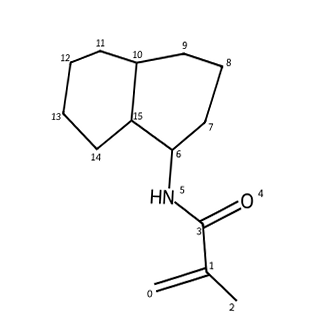 C=C(C)C(=O)NC1CCCC2CCCCC21